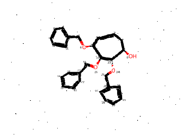 O[C@@H]1CC=C[C@H](OCc2ccccc2)[C@H](OCc2ccccc2)[C@H]1OCc1ccccc1